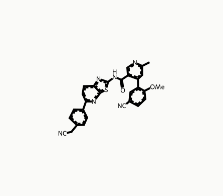 COc1ccc(C#N)cc1-c1cc(C)ncc1C(=O)Nc1nc2ccc(-c3ccc(CC#N)cc3)nc2s1